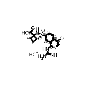 Cl.N=C(N)Nc1ncc(Cl)c2ccc(S(=O)(=O)NC3(C(=O)O)CCC3)cc12